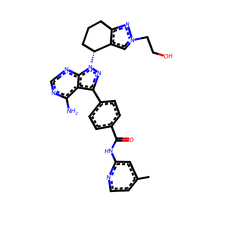 Cc1ccnc(NC(=O)c2ccc(-c3nn([C@@H]4CCCc5nn(CCO)cc54)c4ncnc(N)c34)cc2)c1